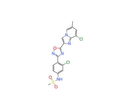 Cc1cc(Cl)c2nc(-c3nc(-c4ccc(NS(C)(=O)=O)cc4Cl)no3)cn2c1